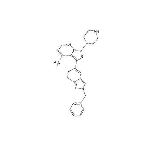 Nc1ncnn2c(C3CCNCC3)cc(-c3ccc4nn(Cc5ccccc5)cc4c3)c12